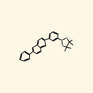 CC1(C)OB(c2cccc(-c3ccc4cc(-c5ccccc5)ccc4c3)c2)OC1(C)C